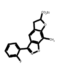 CCOC(=O)C1Cc2cc3c(-c4ccccc4F)noc3c(C)c2O1